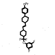 CCCc1ccc(C2CCC(/C=C/C3CCC(C(F)(F)Oc4cc(F)cc(F)c4)CC3)CC2)cc1